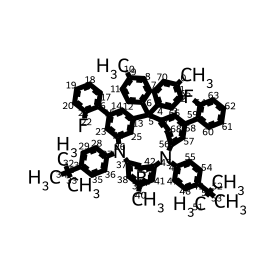 Cc1ccc(C2(c3ccc(C)cc3)c3cc(-c4ccccc4F)cc(c3)N(c3ccc(C(C)(C)C)cc3)c3cc(C)cc(c3Br)N(c3ccc(C(C)(C)C)cc3)c3cc(-c4ccccc4F)cc2c3)cc1